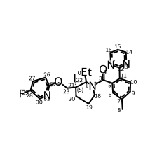 CCC1N(C(=O)c2cc(C)ccc2-c2ncccn2)CCC[C@@]1(I)COc1ccc(F)cn1